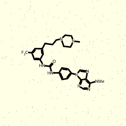 CNc1ncnc2c1ncn2-c1ccc(NC(=O)Nc2cc(CCCN3CCN(C)CC3)cc(C(F)(F)F)c2)cc1